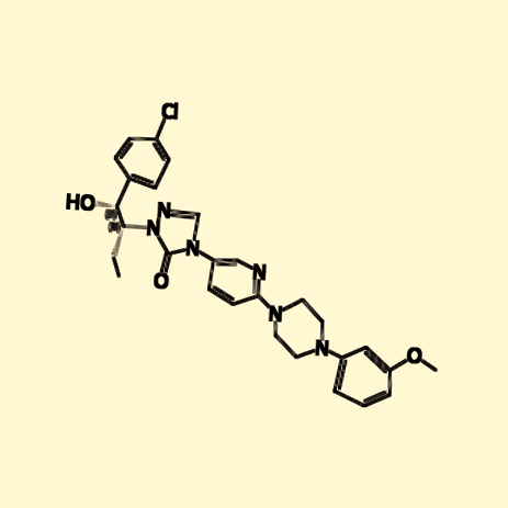 CC[C@H]([C@H](O)c1ccc(Cl)cc1)n1ncn(-c2ccc(N3CCN(c4cccc(OC)c4)CC3)nc2)c1=O